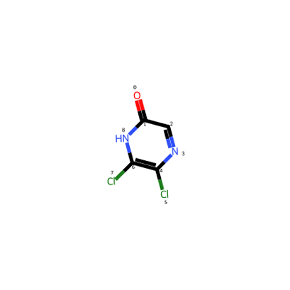 O=c1cnc(Cl)c(Cl)[nH]1